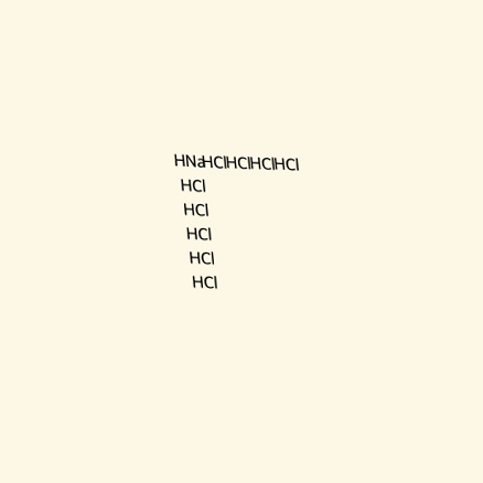 Cl.Cl.Cl.Cl.Cl.Cl.Cl.Cl.Cl.[NaH]